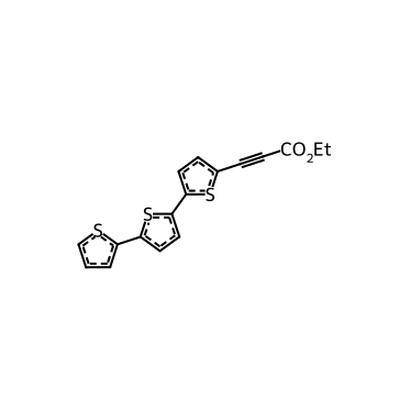 CCOC(=O)C#Cc1ccc(-c2ccc(-c3cccs3)s2)s1